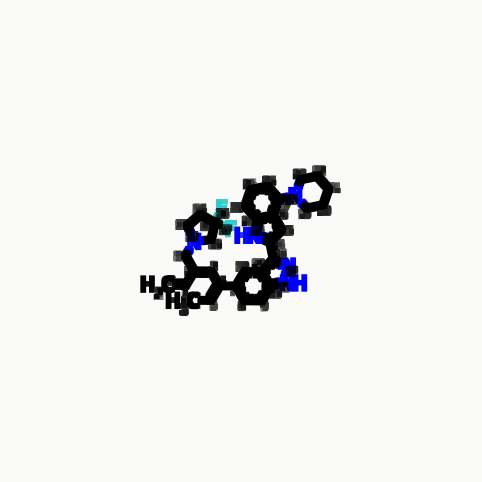 C=C/C(=C\C(=C/C)c1ccc2[nH]nc(-c3cc4c(N5CCCCC5)cccc4[nH]3)c2c1)CN1CCC(F)(F)C1